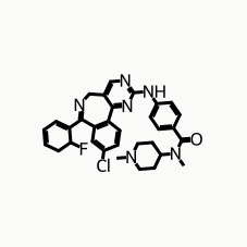 CN1CCC(N(C)C(=O)c2ccc(Nc3ncc4c(n3)-c3ccc(Cl)cc3C(C3=CC=CCC3F)=NC4)cc2)CC1